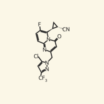 N#C[C@H]1C[C@@H]1c1c(F)ccc2nc(Cn3nc(C(F)(F)F)cc3Cl)cc(=O)n12